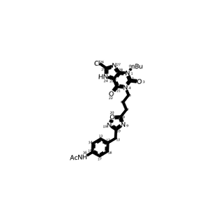 CCCCn1c(=O)n(CCCc2nc(Cc3ccc(NC(C)=O)cc3)no2)c(=O)c2[nH]c(Cl)nc21